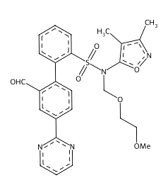 COCCOCN(c1onc(C)c1C)S(=O)(=O)c1ccccc1-c1ccc(-c2ncccn2)cc1C=O